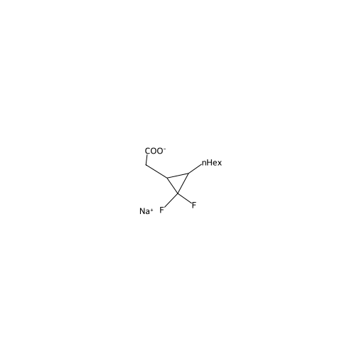 CCCCCCC1C(CC(=O)[O-])C1(F)F.[Na+]